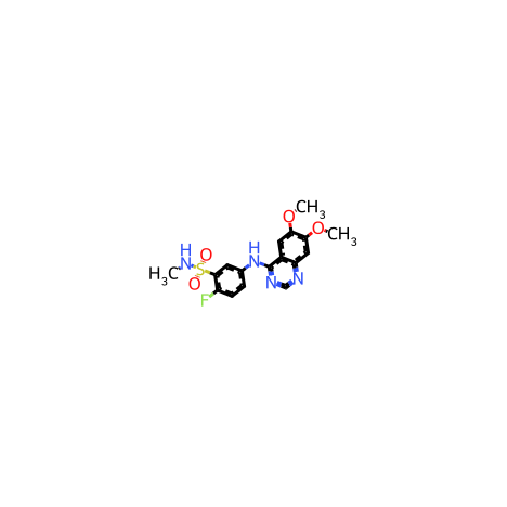 CNS(=O)(=O)c1cc(Nc2ncnc3cc(OC)c(OC)cc23)ccc1F